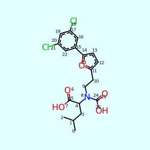 CC(C)CC(C(=O)O)N(CCc1ccc(-c2cc(Cl)cc(Cl)c2)o1)C(=O)O